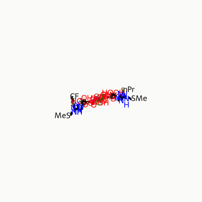 CCCSc1nc(NCCSC)c2ncn(C3O[C@H](COP(=O)(O)OP(=O)(O)C(Cl)(Cl)P(=O)(O)OP(=O)(O)OC[C@H]4O[C@@H](n5cnc6c(NCCSC)nc(SCCC(F)(F)F)nc65)[C@H](O)[C@@H]4O)[C@@H](O)[C@H]3O)c2n1